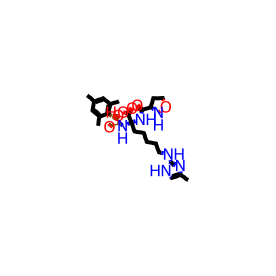 Cc1cc(C)c(S(=O)(=O)NC(CCCCCNc2nc(C)c[nH]2)(NC(=O)C2CCON2)C(=O)O)c(C)c1